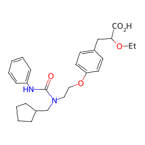 CCOC(Cc1ccc(OCCN(CC2CCCC2)C(=O)Nc2ccccc2)cc1)C(=O)O